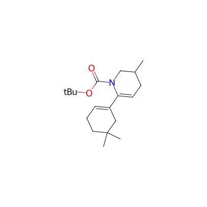 CC1CC=C(C2=CCCC(C)(C)C2)N(C(=O)OC(C)(C)C)C1